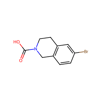 O=C(O)N1CCc2cc(Br)ccc2C1